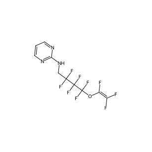 FC(F)=C(F)OC(F)(F)C(F)(F)C(F)(F)CNc1ncccn1